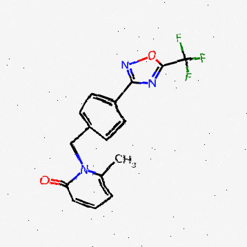 Cc1cccc(=O)n1Cc1ccc(-c2noc(C(F)(F)F)n2)cc1